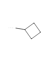 O=CC1C[CH]C1